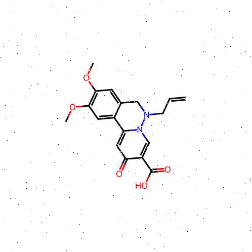 C=CCN1Cc2cc(OC)c(OC)cc2-c2cc(=O)c(C(=O)O)cn21